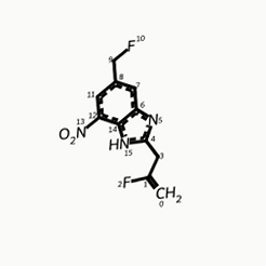 C=C(F)Cc1nc2cc(CF)cc([N+](=O)[O-])c2[nH]1